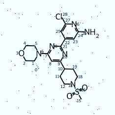 C[C@@H]1COCCN1c1cc(C2CCN(S(C)(=O)=O)CC2)nc(-c2cc(N)nc(Cl)c2)n1